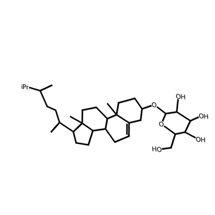 CC(C)C(C)CCC(C)C1CCC2C3CC=C4CC(OC5OC(CO)C(O)C(O)C5O)CCC4(C)C3CCC12C